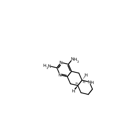 Nc1nc(N)c2c(n1)C[C@H]1CCCN[C@@H]1C2